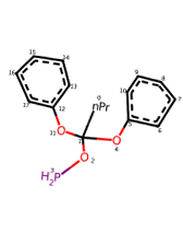 CCCC(OP)(Oc1ccccc1)Oc1ccccc1